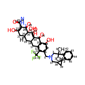 CC(C)(CN(Cc1cc(O)c2c(c1C(F)(F)F)CC1C[C@H]3CC(O)=C(C(N)=O)C(=O)[C@@]3(O)C(O)=C1C2=O)CC1CC1)c1ccccc1